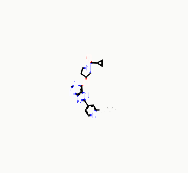 CCn1c(-c2ccnc(OC)c2)nc2c(OC3CCN(C(=O)C4CC4)C3)ncnc21